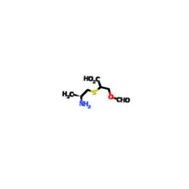 C[C@@H](N)CSC(COC=O)C(=O)O